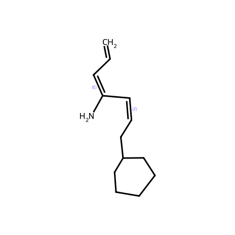 C=C/C=C(N)\C=C/CC1CCCCC1